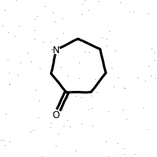 O=C1CCCC[N]C1